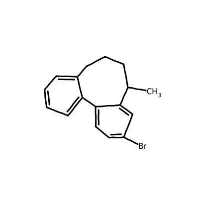 CC1CCCc2ccccc2-c2ccc(Br)cc21